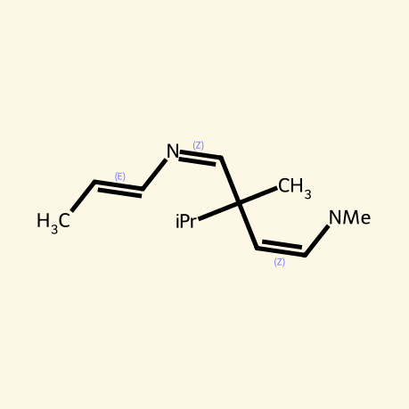 C/C=C/N=C\C(C)(/C=C\NC)C(C)C